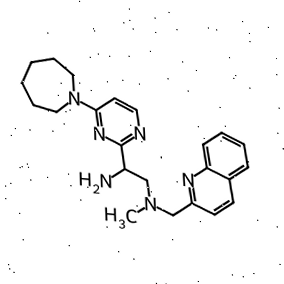 CN(Cc1ccc2ccccc2n1)CC(N)c1nccc(N2CCCCCC2)n1